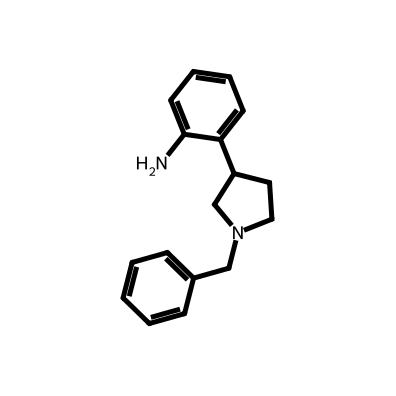 Nc1ccccc1C1CCN(Cc2ccccc2)C1